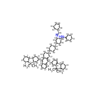 CC1(C)c2ccccc2-c2ccc(-c3c4ccccc4c(-c4ccc5c(c4)C(C)(C)c4ccccc4-5)c4cc(-c5ccc(-c6ccc(Nc7ccccc7)c(/N=C/c7ccccc7)c6)cc5)ccc34)cc21